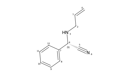 C=CCN[C@H](C#N)c1ccccc1